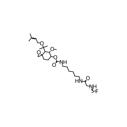 COC1C(OC(=O)NCCCCCCNC(=O)CNSF)CCC2(CO2)C1C(C)(C)OCC=C(C)C